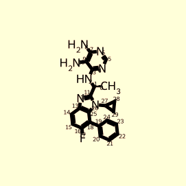 C[C@H](Nc1ncnc(N)c1N)c1nc2ccc(F)c(-c3ccccc3)c2n1C1CC1